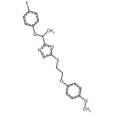 COc1ccc(OCCSc2nnc(C(C)Oc3ccc(F)cc3)o2)cc1